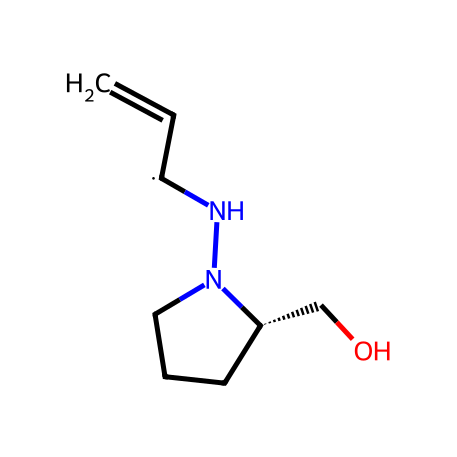 C=C[CH]NN1CCC[C@H]1CO